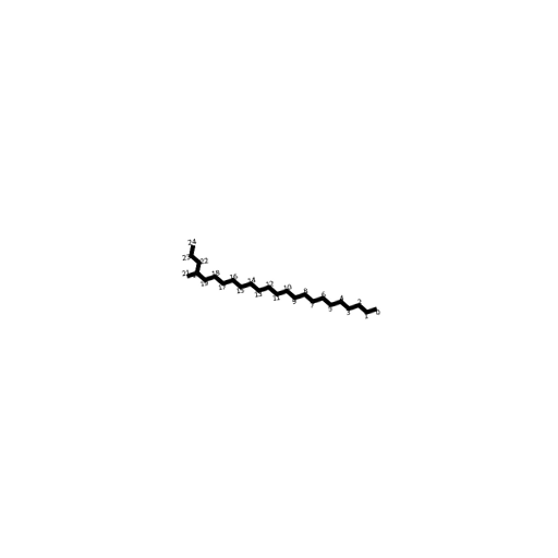 CCCCCCCCCCCCCCCCCCCCC(C)CCC